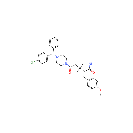 COc1ccc(CC(C(N)=O)C(C)(C)CC(=O)N2CCN(C(c3ccccc3)c3ccc(Cl)cc3)CC2)cc1